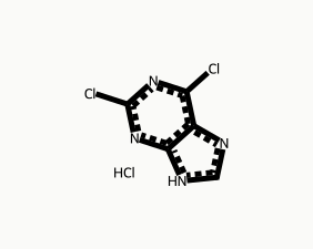 Cl.Clc1nc(Cl)c2nc[nH]c2n1